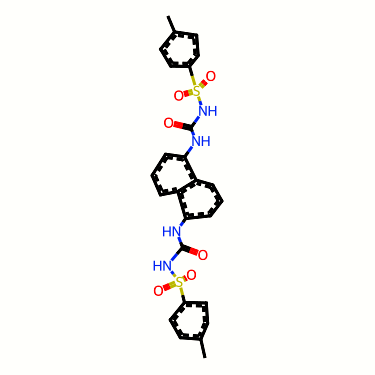 Cc1ccc(S(=O)(=O)NC(=O)Nc2cccc3c(NC(=O)NS(=O)(=O)c4ccc(C)cc4)cccc23)cc1